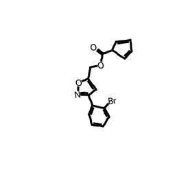 O=C(OCc1cc(-c2ccccc2Br)no1)C1C=CC=C1